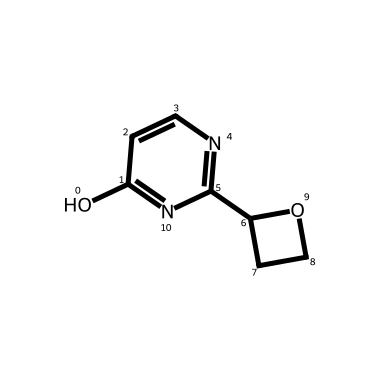 Oc1ccnc(C2CCO2)n1